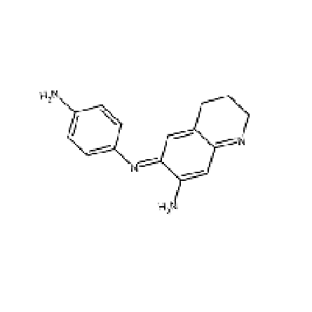 NC1=CC2=NCCCC2=CC1=Nc1ccc(N)cc1